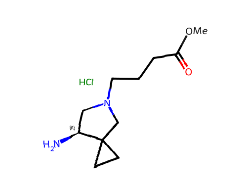 COC(=O)CCCN1C[C@H](N)C2(CC2)C1.Cl